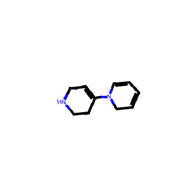 C1=CCN(C2=CCNCC2)C=C1